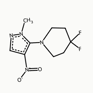 Cn1ncc([N+](=O)[O-])c1N1CCC(F)(F)CC1